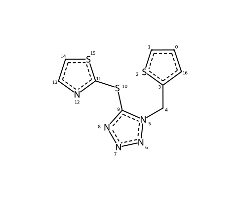 c1csc(Cn2nnnc2Sc2nccs2)c1